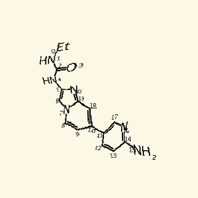 CCNC(=O)Nc1cn2ccc(-c3ccc(N)nc3)cc2n1